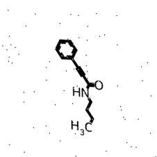 CCCCNC(=O)C#Cc1ccccc1